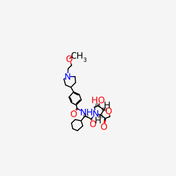 COCCN1CCC(c2ccc(C(=O)N[C@H](C(=O)N3C[C@@H](O)[C@@H]4OCC(=O)[C@@H]43)C3CCCCC3)cc2)CC1